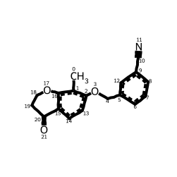 Cc1c(OCc2cccc(C#N)c2)ccc2c1OCCC2=O